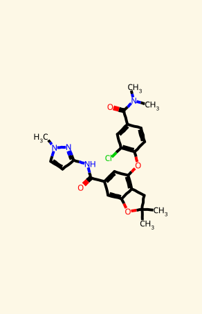 CN(C)C(=O)c1ccc(Oc2cc(C(=O)Nc3ccn(C)n3)cc3c2CC(C)(C)O3)c(Cl)c1